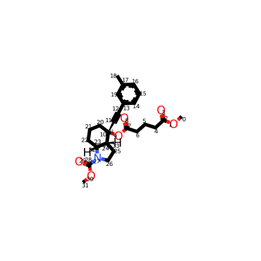 COC(=O)CCCC(=O)O[C@@]1(C#Cc2cccc(C)c2)CCC[C@@H]2[C@H]1CCN2C(=O)OC